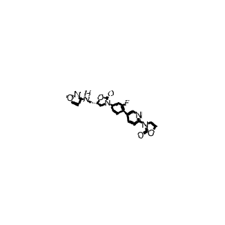 O=C1O[C@@H](CNc2ccon2)CN1c1ccc(-c2ccc(N3CCOC3=O)nc2)c(F)c1